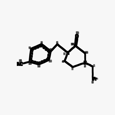 C[C](C)CN1CCN(Cc2ccc(C#N)cc2)C(=O)C1